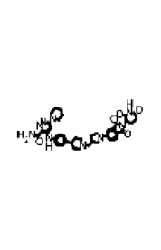 NC(=O)c1nnc(N2CCCCC2)cc1Nc1ccc(C2CCN(CC3CCN(c4ccc5c(c4)C(=O)N(C4CCC(=O)NC4=O)C5=O)C3)CC2)cc1